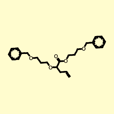 C=CCC(OCCCOCc1ccccc1)C(=O)OCCCOCc1ccccc1